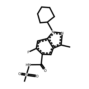 Cc1nn(C2CCCCC2)c2cc(F)c(C(=O)NS(C)(=O)=O)cc12